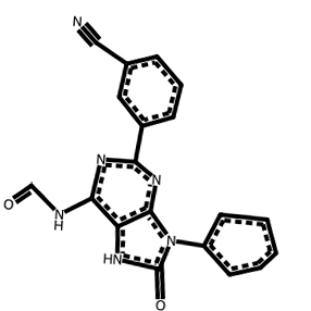 N#Cc1cccc(-c2nc(N[C]=O)c3[nH]c(=O)n(-c4ccccc4)c3n2)c1